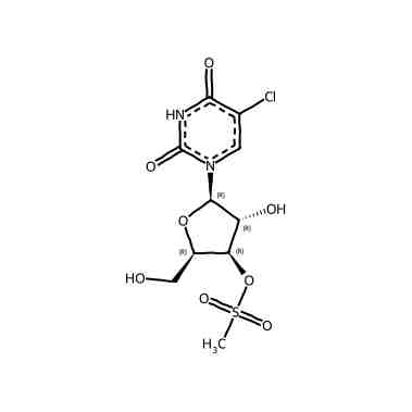 CS(=O)(=O)O[C@@H]1[C@@H](O)[C@H](n2cc(Cl)c(=O)[nH]c2=O)O[C@@H]1CO